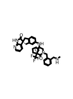 CNCc1ccccc1CN(CC(=O)Nc1ccc2c(c1)C[C@@]1(C2)C(=O)Nc2ncccc21)C(=O)C1(C(F)(F)F)CCCC1